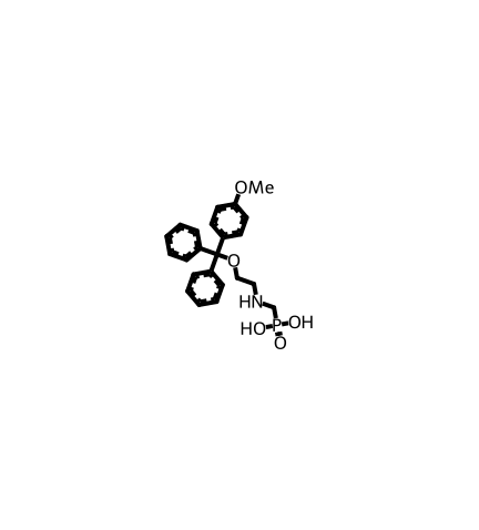 COc1ccc(C(OCCNCP(=O)(O)O)(c2ccccc2)c2ccccc2)cc1